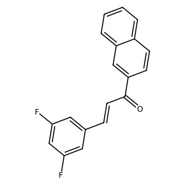 O=C(C=Cc1cc(F)cc(F)c1)c1ccc2ccccc2c1